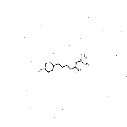 CCC(CCCCC1CCN(CC)CC1)CN(C)C